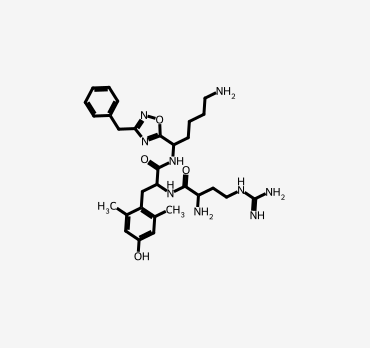 Cc1cc(O)cc(C)c1CC(NC(=O)C(N)CCNC(=N)N)C(=O)NC(CCCCN)c1nc(Cc2ccccc2)no1